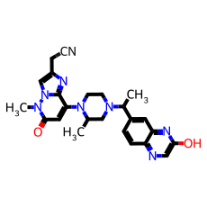 CC(c1ccc2ncc(O)nc2c1)N1CCN(c2cc(=O)n(C)n3cc(CC#N)nc23)C(C)C1